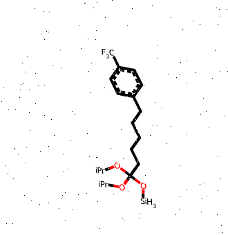 CC(C)OC(CCCCCc1ccc(C(F)(F)F)cc1)(O[SiH3])OC(C)C